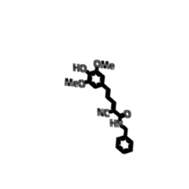 COc1cc(/C=C/C=C(\C#N)C(=O)NCc2ccccc2)cc(OC)c1O